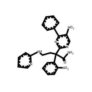 NC(=O)C(CCNc1ccccn1)(c1ncc([N+](=O)[O-])c(-c2ccccc2)n1)c1ccccc1[N+](=O)[O-]